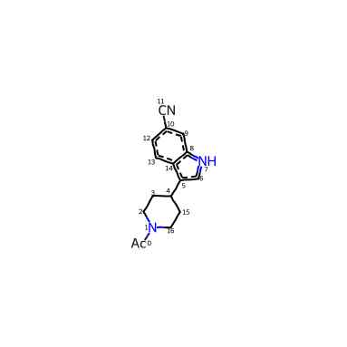 CC(=O)N1CCC(c2c[nH]c3cc(C#N)ccc23)CC1